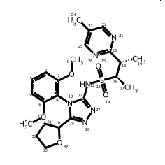 COc1cccc(OC)c1-n1c(NS(=O)(=O)[C@H](C)[C@@H](C)c2ncc(C)cn2)nnc1C1CCCO1